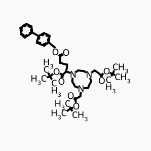 CC(C)(C)OC(=O)CN1CCN(CC(=O)OC(C)(C)C)CCN(C(CCC(=O)OCc2ccc(-c3ccccc3)cc2)C(=O)OC(C)(C)C)CC1